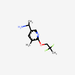 Cc1cc(C(C)N)cnc1OCC(C)(F)F